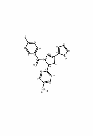 Cc1ccc(C(=O)N2N=C(c3cccs3)CC2c2ccc([N+](=O)[O-])cc2)cc1